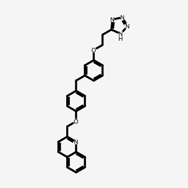 c1cc(Cc2ccc(OCc3ccc4ccccc4n3)cc2)cc(OCCc2nnn[nH]2)c1